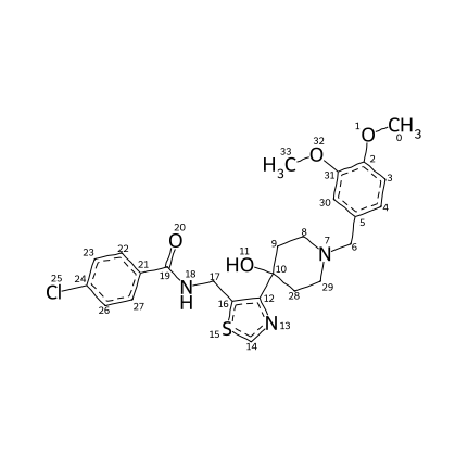 COc1ccc(CN2CCC(O)(c3ncsc3CNC(=O)c3ccc(Cl)cc3)CC2)cc1OC